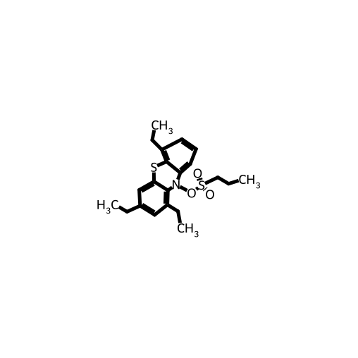 CCCS(=O)(=O)ON1c2cccc(CC)c2Sc2cc(CC)cc(CC)c21